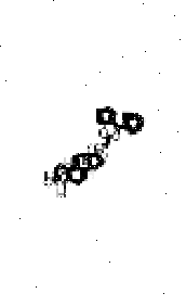 C[C@]12CCC(=O)NC1CC[C@@H]1[C@H]2CC[C@]2(C)C(OCC(=O)OC(c3ccccc3)c3ccccc3)CC[C@@H]12